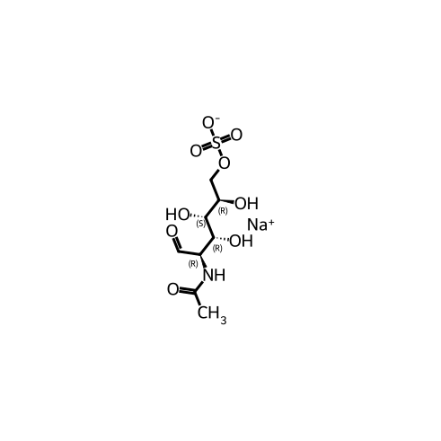 CC(=O)N[C@@H](C=O)[C@@H](O)[C@H](O)[C@H](O)COS(=O)(=O)[O-].[Na+]